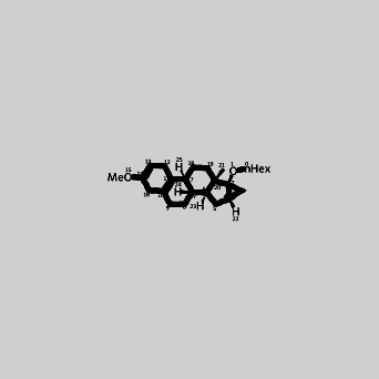 CCCCCCO[C@@]12C[C@@H]1C[C@H]1[C@@H]3CCC4=C(CC=C(OC)C4)[C@H]3CC[C@@]12C